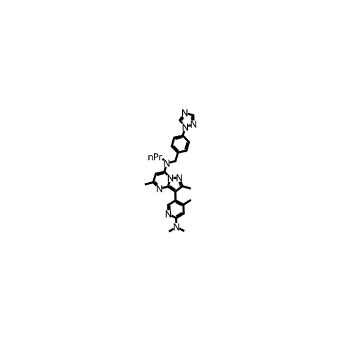 CCCN(Cc1ccc(-n2cncn2)cc1)c1cc(C)nc2c(-c3cnc(N(C)C)cc3C)c(C)nn12